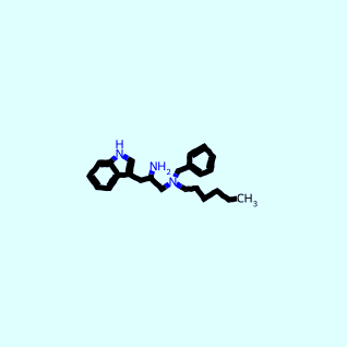 CCCCCCN(Cc1ccccc1)CC(N)Cc1c[nH]c2ccccc12